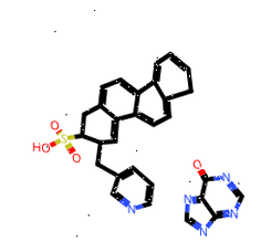 O=C1N=CN=C2N=CN=C12.O=S(=O)(O)C1Cc2ccc3c4c(ccc3c2=CC1Cc1cccnc1)CC=CC=4